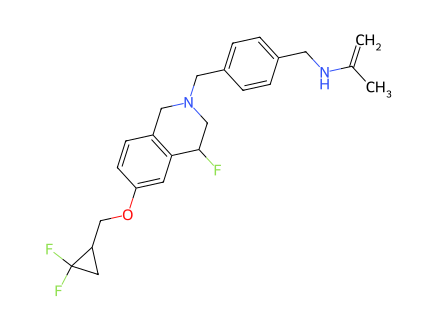 C=C(C)NCc1ccc(CN2Cc3ccc(OCC4CC4(F)F)cc3C(F)C2)cc1